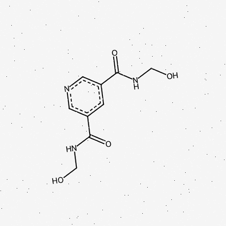 O=C(NCO)c1cncc(C(=O)NCO)c1